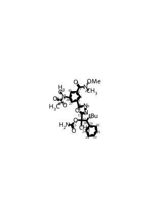 CON(C)C(=O)c1cc(-c2nnc(C(C)(OC(N)=O)C(c3ccccc3)C(C)(C)C)o2)cc(N(C)S(C)(=O)=O)c1